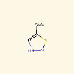 CNC1=CN[N]S1